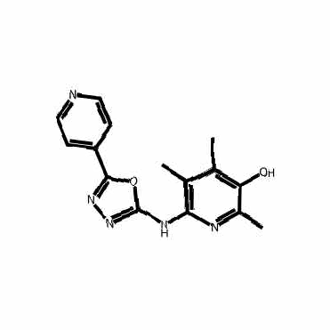 Cc1nc(Nc2nnc(-c3ccncc3)o2)c(C)c(C)c1O